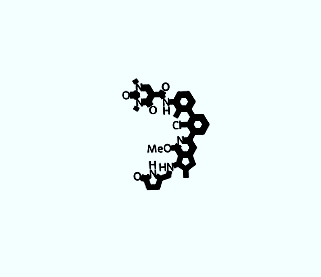 COc1nc(-c2cccc(-c3cccc(NC(=O)c4cn(C)c(=O)n(C)c4=O)c3C)c2Cl)cc2c1C(NCC1CCC(=O)N1)C(C)C2